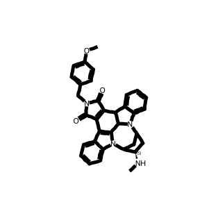 CN[C@H]1CC2CC1n1c3c(c4ccccc41)C1=C(C(=O)N(Cc4ccc(OC)cc4)C1=O)C1c4ccccc4N2C31